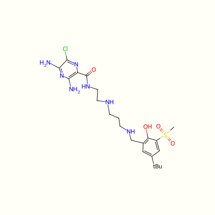 CC(C)(C)c1cc(CNCCCNCCNC(=O)c2nc(Cl)c(N)nc2N)c(O)c(S(C)(=O)=O)c1